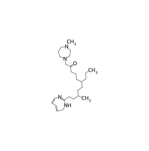 CCCC(CCCC(=O)CN1CCCN(C)CC1)CCC(C)CC/C1=N/C=C\C=C\CN1